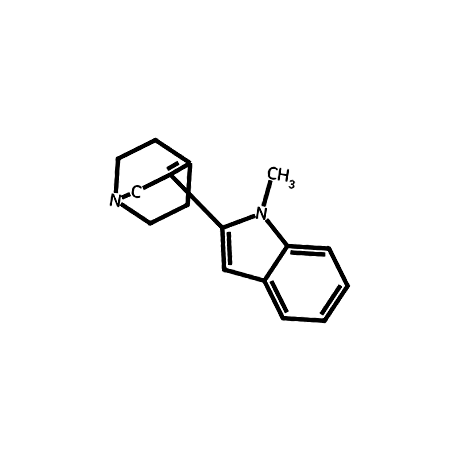 Cn1c(C2=C3CCN(CC3)C2)cc2ccccc21